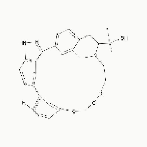 CC(C)(O)C1Cc2ccc3cc2CN1CCOCCOc1ccc(F)c(c1)-c1cc2c-3n[nH]c2cn1